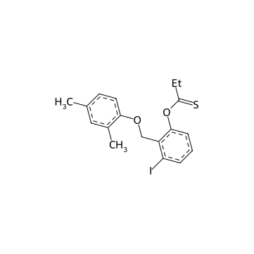 CCC(=S)Oc1cccc(I)c1COc1ccc(C)cc1C